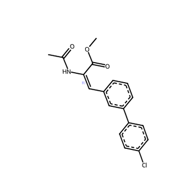 COC(=O)/C(=C\c1cccc(-c2ccc(Cl)cc2)c1)NC(C)=O